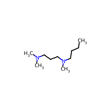 CCCCN(C)CCCN(C)C